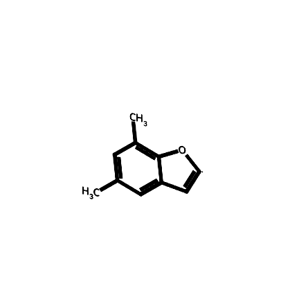 Cc1cc(C)c2o[c]cc2c1